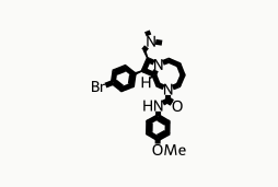 COc1ccc(NC(=O)N2CCCCN3[C@H](CN(C)C)[C@H](c4ccc(Br)cc4)[C@@H]3C2)cc1